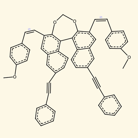 COc1ccc(/C=C\c2cc3cc(C#Cc4ccccc4)ccc3c3c2OCOc2c(/C=C\c4ccc(OC)cc4)cc4cc(C#Cc5ccccc5)ccc4c2-3)cc1